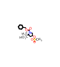 CC1(C(=O)O)CC(OS(C)(=O)=O)CN1C(=O)OCc1ccccc1